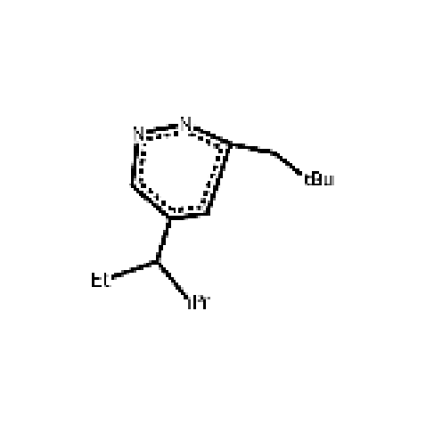 CCC(c1cnnc(CC(C)(C)C)c1)C(C)C